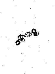 O=C1N(CCN2CCN(c3cccc4occc34)CC2)CCN1c1ccccc1